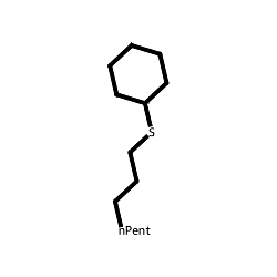 CCCCCCCCS[C]1CC[CH]CC1